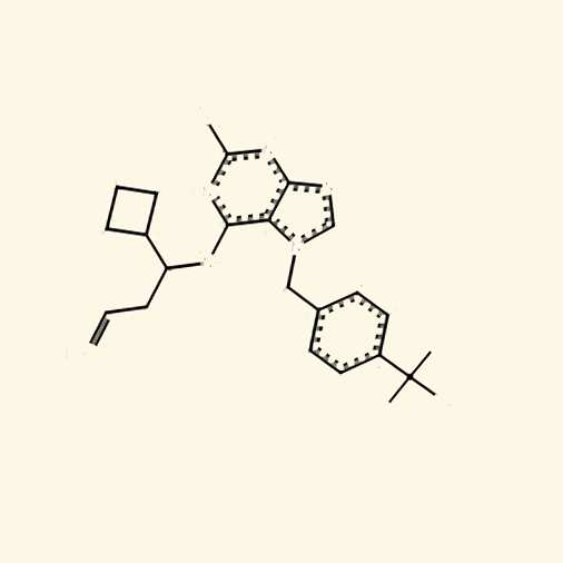 C=CCC(Nc1nc(Cl)nc2ncn(Cc3ccc(C(F)(F)F)cc3)c12)C1CCC1